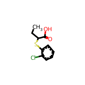 CCC(Sc1ccccc1Cl)C(=O)O